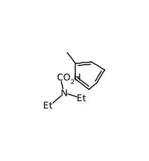 CCN(CC)C(=O)O.Cc1ccccc1